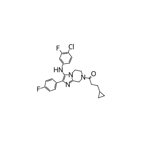 O=C(CCC1CC1)N1CCn2c(nc(-c3ccc(F)cc3)c2Nc2ccc(Cl)c(F)c2)C1